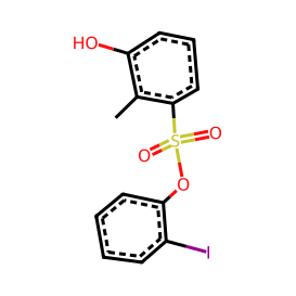 Cc1c(O)cccc1S(=O)(=O)Oc1ccccc1I